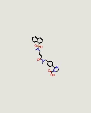 CN(Cc1ccc(C2=NCCN2C(=O)O)cc1)C(=O)C=CCN(C)S(=O)(=O)c1cccc2ccccc12